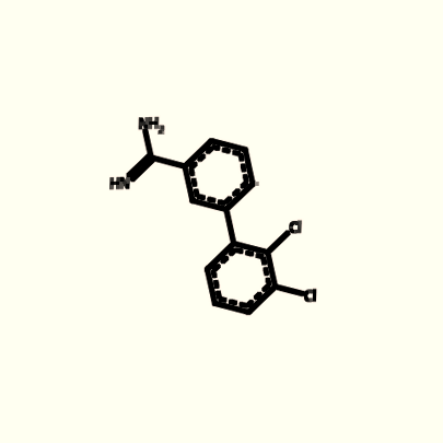 N=C(N)c1cc[c]c(-c2cccc(Cl)c2Cl)c1